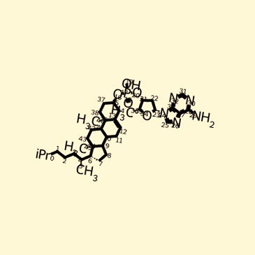 CC(C)CCC[C@@H](C)[C@H]1CCC2C3CC=C4CC(OP(=O)(O)O[C@H]5C[C@H](n6cnc7c(N)ncnc76)O[C@@H]5C)CC[C@]4(C)C3CC[C@@]21C